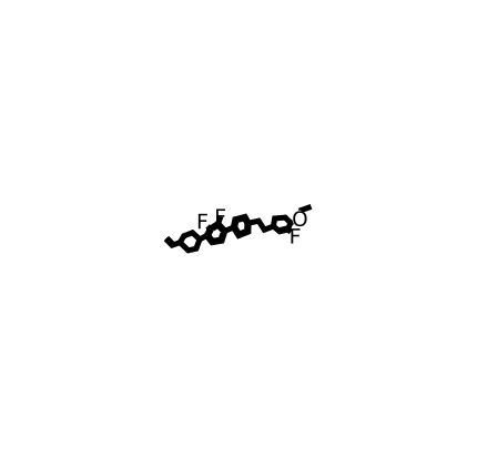 C=CC1CCC(c2ccc(-c3ccc(CCC4C=C(F)C(OCC)CC4)cc3)c(F)c2F)CC1